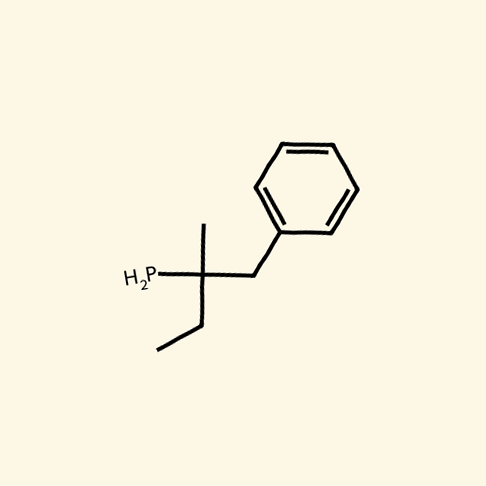 CCC(C)(P)Cc1ccccc1